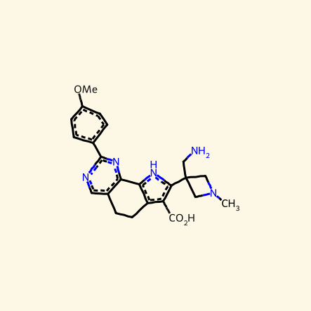 COc1ccc(-c2ncc3c(n2)-c2[nH]c(C4(CN)CN(C)C4)c(C(=O)O)c2CC3)cc1